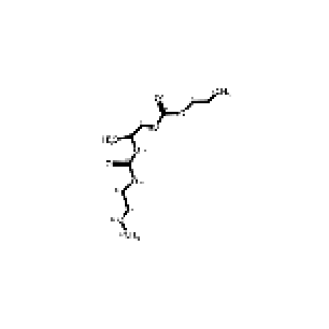 CCCOC(=O)OCC(C)OC(=O)OCCOC